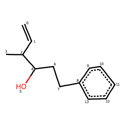 C=CC(C)C(O)CCc1ccccc1